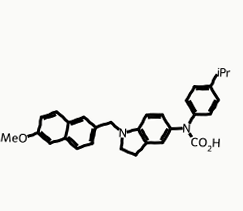 COc1ccc2cc(CN3CCc4cc(N(C(=O)O)c5ccc(C(C)C)cc5)ccc43)ccc2c1